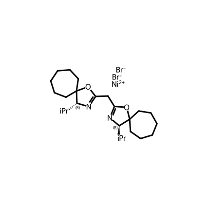 CC(C)[C@H]1N=C(CC2=N[C@H](C(C)C)C3(CCCCCC3)O2)OC12CCCCCC2.[Br-].[Br-].[Ni+2]